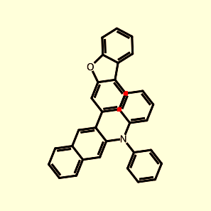 c1ccc(N(c2ccccc2)c2cc3ccccc3cc2-c2ccc3c(c2)oc2ccccc23)cc1